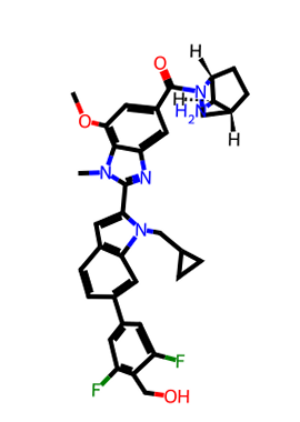 COc1cc(C(=O)N2C[C@H]3CC[C@@H]2[C@@H]3N)cc2nc(-c3cc4ccc(-c5cc(F)c(CO)c(F)c5)cc4n3CC3CC3)n(C)c12